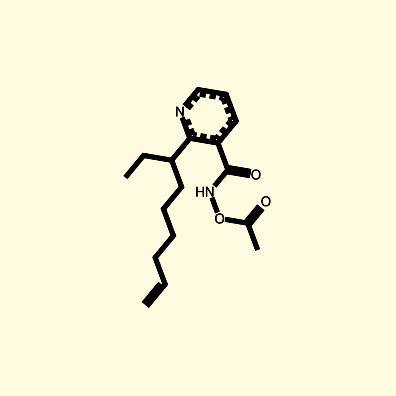 C=CCCCCC(CC)c1ncccc1C(=O)NOC(C)=O